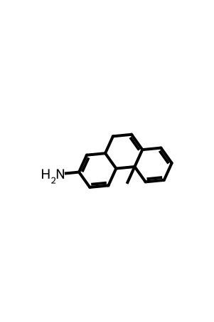 CC12C=CC=CC1=CCC1C=C(N)C=CC12